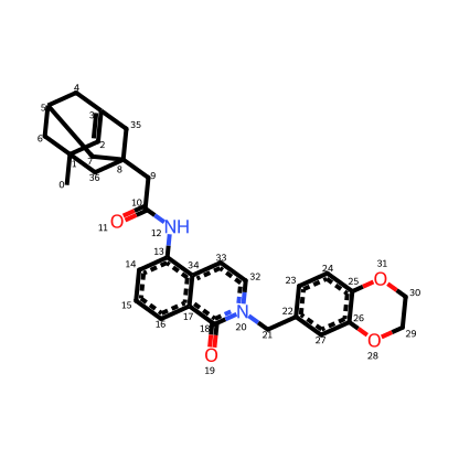 CC12C=C3CC(C1)CC(CC(=O)Nc1cccc4c(=O)n(Cc5ccc6c(c5)OCCO6)ccc14)(C3)C2